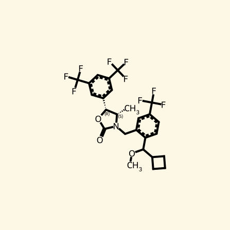 COC(c1ccc(C(F)(F)F)cc1CN1C(=O)O[C@H](c2cc(C(F)(F)F)cc(C(F)(F)F)c2)[C@@H]1C)C1CCC1